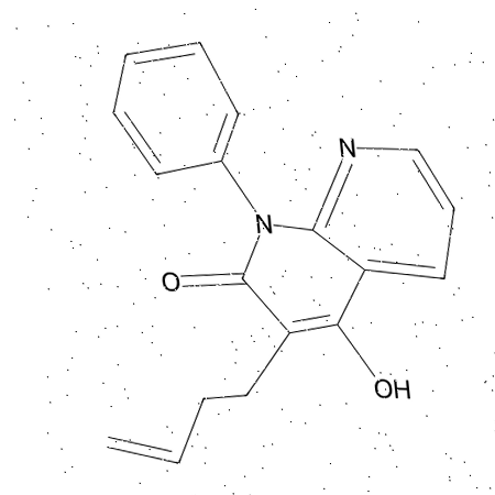 C=CCCc1c(O)c2cccnc2n(-c2ccccc2)c1=O